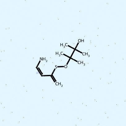 C=C(/C=C\N)SOC(C)(C)C(C)(C)O